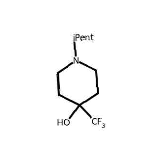 CCCC(C)N1CCC(O)(C(F)(F)F)CC1